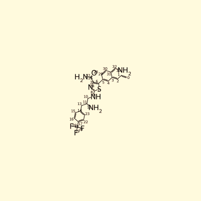 C=C/C=c1/cc(-c2sc(NC[C@@H](N)Cc3ccc(C(F)(F)F)cc3)nc2C(N)=O)cc/c1=C/N